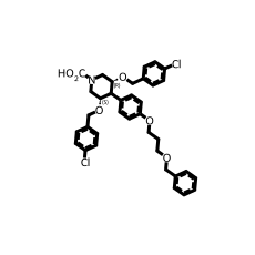 O=C(O)N1C[C@H](OCc2ccc(Cl)cc2)C(c2ccc(OCCCOCc3ccccc3)cc2)[C@H](OCc2ccc(Cl)cc2)C1